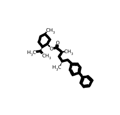 CC(C)[C@@H]1CC[C@@H](C)C[C@H]1OC(=O)[C@@H](C)C[C@@H](C)Cc1ccc(-c2ccccc2)cc1